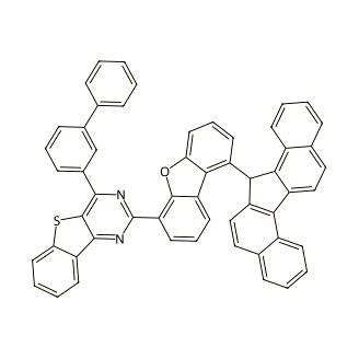 c1ccc(-c2cccc(-c3nc(-c4cccc5c4oc4cccc(C6c7ccc8ccccc8c7-c7ccc8ccccc8c76)c45)nc4c3sc3ccccc34)c2)cc1